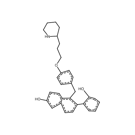 Oc1ccc2c(Cc3ccc(OCCCC4CCCCN4)cc3)c(-c3ccccc3O)ccc2c1